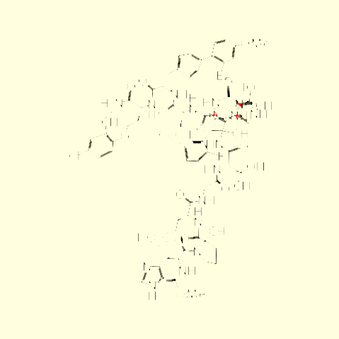 CCc1cc(OC)ccc1-c1ccc(C[C@H](NC(=O)[C@H](CC(=O)O)NC(=O)[C@H](Cc2c[nH]cn2)NC(=O)[C@@H](NC(=O)C(C)(Cc2ccccc2F)NC(=O)[C@@H](NC(=O)CNC(=O)[C@H](CCC(=O)O)NC(=O)C2(C)CCCN2C(=O)[C@H](Cc2c[nH]cn2)NC(=O)OC)[C@@H](C)O)[C@@H](C)O)C(=O)N[C@@H](CCOc2ccc(Cl)cc2C)C(N)=O)cc1